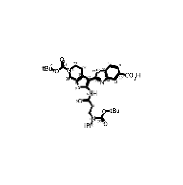 CC(C)N(CCC(=O)Nc1sc2c(c1-c1nc3cc(C(=O)O)ccc3s1)CCN(C(=O)OC(C)(C)C)C2)C(=O)OC(C)(C)C